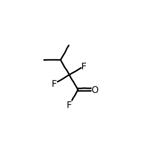 CC(C)C(F)(F)C(=O)F